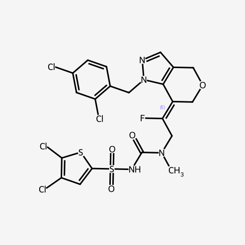 CN(C/C(F)=C1\COCc2cnn(Cc3ccc(Cl)cc3Cl)c21)C(=O)NS(=O)(=O)c1cc(Cl)c(Cl)s1